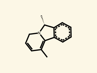 CC1=C2c3ccccc3[C@@H](C)N2CC=C1